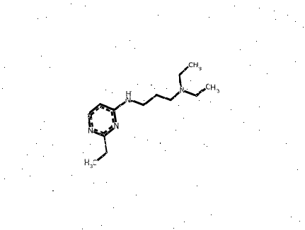 CCc1nccc(NCCCN(CC)CC)n1